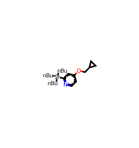 CCC[CH2][Sn]([CH2]CCC)([CH2]CCC)[c]1cc(OCC2CC2)ccn1